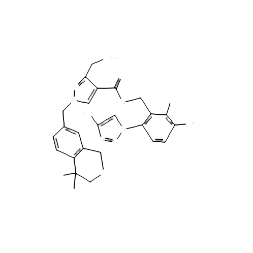 COCc1nn(Cc2ccc3c(c2)CNCC3(C)C)cc1C(=O)NCc1c(-n2cc(C)nn2)ccc(OC)c1F